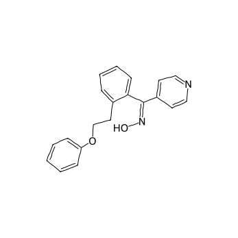 ON=C(c1ccncc1)c1ccccc1CCOc1ccccc1